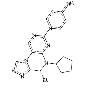 CC[C@@H]1c2nncn2-c2cnc(-n3ccc(=N)cc3)nc2N1C1CCCC1